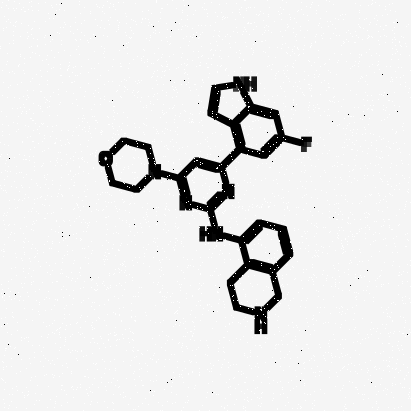 Fc1cc(-c2cc(N3CCOCC3)nc(Nc3cccc4c3CCNC4)n2)c2cc[nH]c2c1